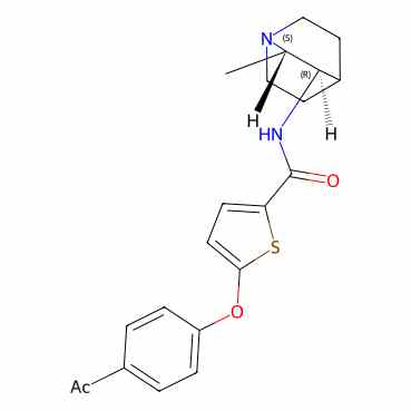 CC(=O)c1ccc(Oc2ccc(C(=O)N[C@@H]3C4CCN(CC4)[C@H]3C)s2)cc1